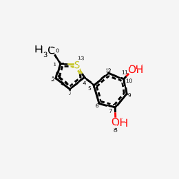 Cc1ccc(-c2cc(O)cc(O)c2)s1